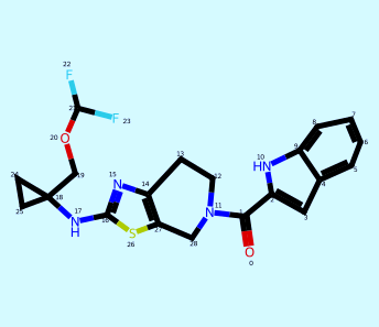 O=C(c1cc2ccccc2[nH]1)N1CCc2nc(NC3(COC(F)F)CC3)sc2C1